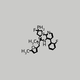 Cc1ccc(CN(C)C(=O)Nc2c(-c3ccccc3F)ccnc2N2CCC(F)(P)C2)o1